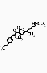 C/C(=C\c1ccc(CCC(F)(F)F)cc1)C(=O)c1c(O)cc(C(C)CC/C=C/NC(=O)O)oc1=O